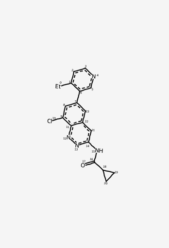 CCc1ccncc1-c1cc(Cl)c2nnc(NC(=O)C3CC3)cc2c1